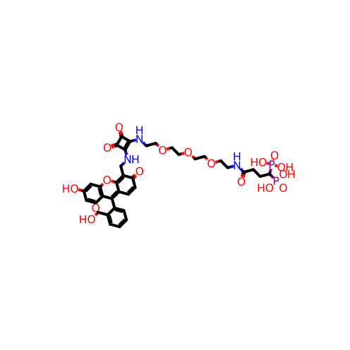 O=C(CCC(P(=O)(O)O)P(=O)(O)O)NCCOCCOCCOCCNc1c(NCc2c3oc4cc(O)ccc4c(-c4ccccc4C(=O)O)c-3ccc2=O)c(=O)c1=O